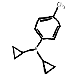 Cc1ccc(P(C2CC2)C2CC2)cc1